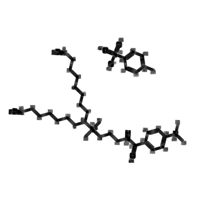 CCCCCCCCCCCCCCCCCC(CCCCCCCCCCCCCCCC)[N+](C)(C)CCCNC(=O)c1ccc(N(C)C)cc1.Cc1ccc(S(=O)(=O)[O-])cc1